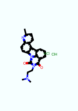 Cc1ccc2c(ccc3c2c2cccc4c(=O)n(CCN(C)C)c(=O)n3c42)n1.Cl.Cl